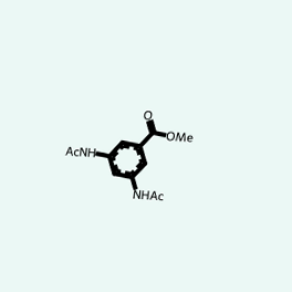 COC(=O)c1cc(NC(C)=O)cc(NC(C)=O)c1